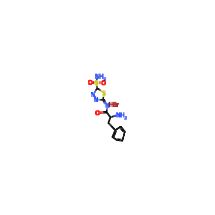 Br.N[C@@H](Cc1ccccc1)C(=O)N=C1N=NC(S(N)(=O)=O)S1